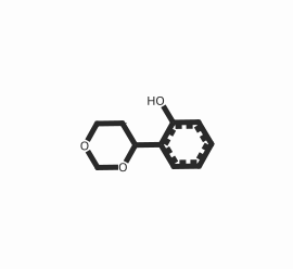 Oc1ccccc1C1[CH]COCO1